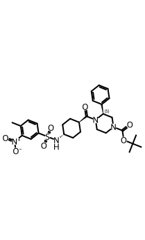 Cc1ccc(S(=O)(=O)N[C@H]2CC[C@H](C(=O)N3CCN(C(=O)OC(C)(C)C)C[C@@H]3c3ccccc3)CC2)cc1[N+](=O)[O-]